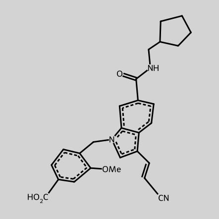 COc1cc(C(=O)O)ccc1Cn1cc(C=CC#N)c2ccc(C(=O)NCC3CCCC3)cc21